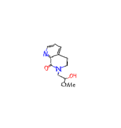 COC(O)CN1CCc2cccnc2C1=O